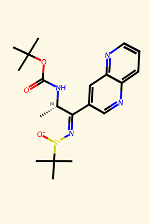 C[C@H](NC(=O)OC(C)(C)C)C(=N[S+]([O-])C(C)(C)C)c1cnc2cccnc2c1